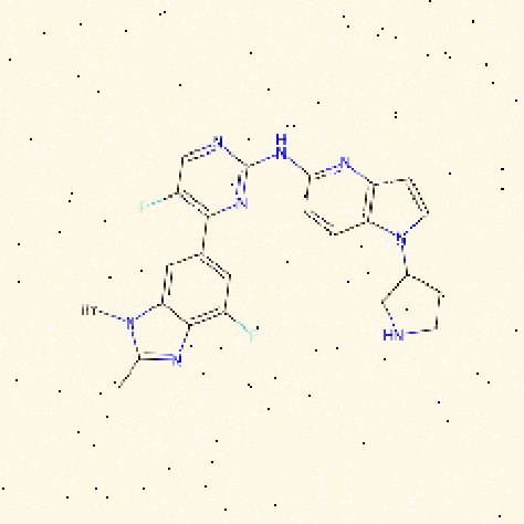 Cc1nc2c(F)cc(-c3nc(Nc4ccc5c(ccn5C5CCNC5)n4)ncc3F)cc2n1C(C)C